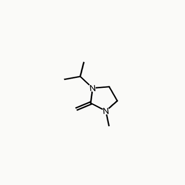 C=C1N(C)CCN1C(C)C